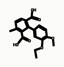 CCOc1cc(-c2c(C(=O)O)ccc(C)c2C(=O)O)ccc1OC